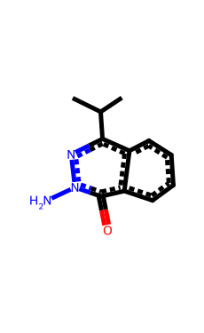 CC(C)c1nn(N)c(=O)c2ccccc12